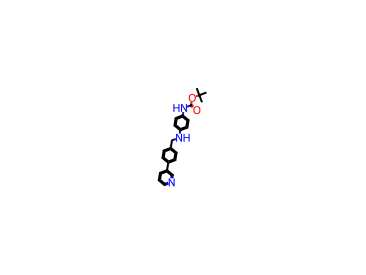 CC(C)(C)OC(=O)Nc1ccc(NCc2ccc(-c3cccnc3)cc2)cc1